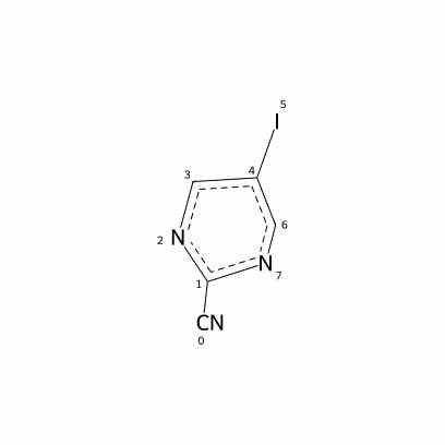 N#Cc1ncc(I)cn1